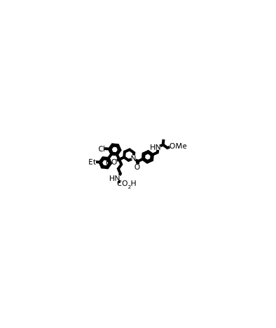 CCc1cccc(-c2c(Cl)cccc2C(O)(CCCNC(=O)O)C2CCCN(C(=O)c3ccc(CNC(C)COC)cc3)C2)c1